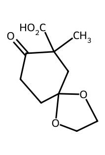 CC1(C(=O)O)CC2(CCC1=O)OCCO2